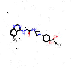 C#CC(O)[C@]1(O)CC[C@H](N2CC(NC(=O)CNc3ncnc4ccc(C(F)(F)F)cc34)C2)CC1